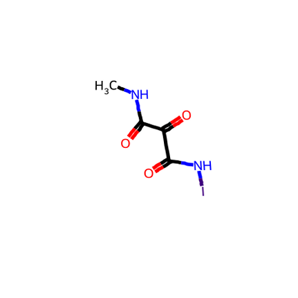 CNC(=O)C(=O)C(=O)NI